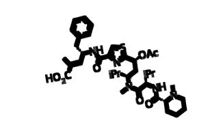 CC(=O)O[C@H](C[C@H](C(C)C)N(C)C(=O)[C@@H](NC(=O)[C@H]1CCCCN1C)C(C)C)c1nc(C(=O)N[C@H](/C=C(\C)C(=O)O)Cc2ccccc2)cs1